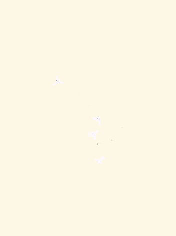 C=C/C(=C\N(C)C)c1cccc(/C(C)=N/C(NCCC)=C(\C=C)C(=C)C/C(C)=N\C)c1